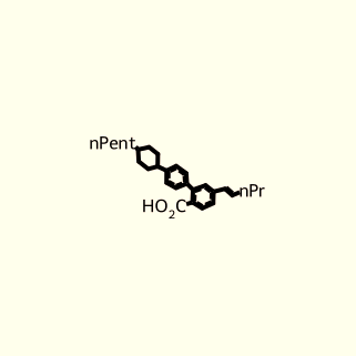 CCC/C=C/c1ccc(C(=O)O)c(-c2ccc(C3CCC(CCCCC)CC3)cc2)c1